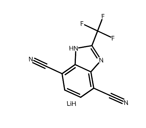 N#Cc1ccc(C#N)c2[nH]c(C(F)(F)F)nc12.[LiH]